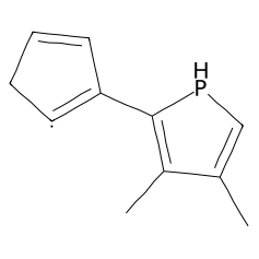 Cc1c[pH]c(C2=[C]CC=C2)c1C